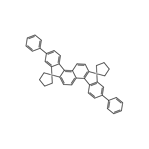 c1ccc(-c2ccc3c(c2)[Si]2(CCCC2)c2ccc4c5c(ccc4c2-3)[Si]2(CCCC2)c2cc(-c3ccccc3)ccc2-5)cc1